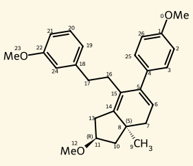 COc1ccc(C2=CC[C@@]3(C)C[C@@H](OC)CC3=C2CCc2cccc(OC)c2)cc1